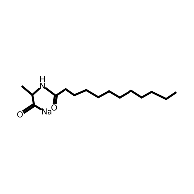 CCCCCCCCCCCC(=O)NC(C)[C](=O)[Na]